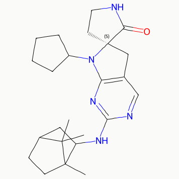 CC1(C)C2CCC1(C)C(Nc1ncc3c(n1)N(C1CCCC1)[C@]1(CCNC1=O)C3)C2